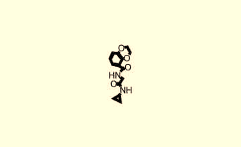 O=C(CNC(=O)c1cccc2c1OCCO2)NC1CC1